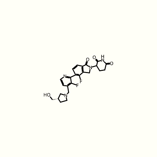 O=C1CCC(N2Cc3c(ccc(-c4nccc(CN5CC[C@H](CO)C5)c4F)c3F)C2=O)C(=O)N1